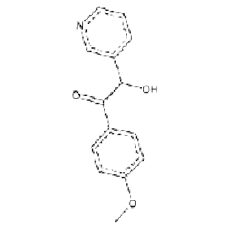 COc1ccc(C(=O)C(O)c2cccnc2)cc1